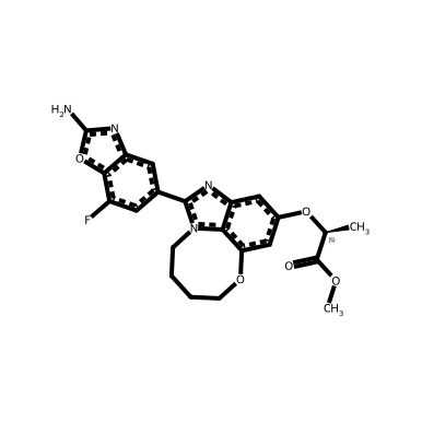 COC(=O)[C@H](C)Oc1cc2c3c(c1)nc(-c1cc(F)c4oc(N)nc4c1)n3CCCCO2